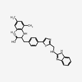 Cc1cc(C)c(NC(Cc2ccc(-c3cnc(CNc4nc5ccccc5[nH]4)s3)cc2)C(=O)O)c(C)c1